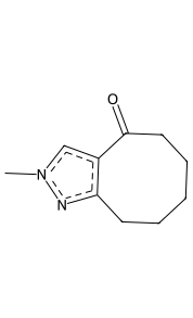 Cn1cc2c(n1)CCCCCC2=O